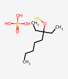 CCCCCC(CC)(CC)OS.O=P(O)(O)O